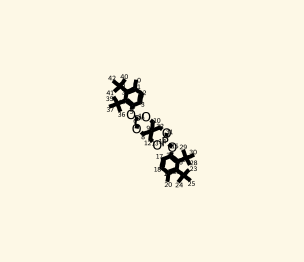 Cc1ccc(OP2OCC3(CO2)COP(Oc2ccc(C)c(C(C)(C)C)c2C(C)(C)C)OC3)c(C(C)(C)C)c1C(C)(C)C